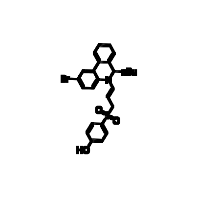 CCCCC1c2ccccc2-c2cc(Br)ccc2N1C=CCS(=O)(=O)c1ccc(O)cc1